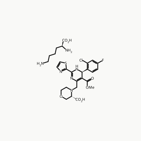 COC(=O)C1=C(CN2CCOC[C@H]2C(=O)O)N=C(c2nccs2)N[C@H]1c1ccc(F)cc1Cl.NCCCC[C@H](N)C(=O)O